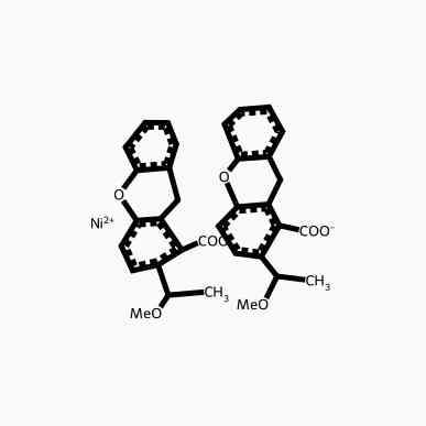 COC(C)c1ccc2c(c1C(=O)[O-])Cc1ccccc1O2.COC(C)c1ccc2c(c1C(=O)[O-])Cc1ccccc1O2.[Ni+2]